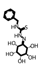 O[C@@H]1[C@H](O)[C@H](O)/C(=N\NC(=S)NCc2ccccc2)[C@H](O)[C@H]1O